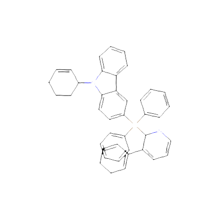 C1=CNC(S(c2ccccc2)(c2ccccc2)c2ccc3c(c2)c2ccccc2n3C2C=CCCC2)C(C2=CCCC=C2)=C1